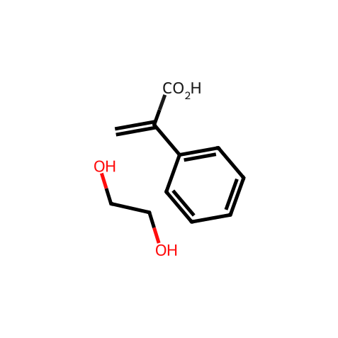 C=C(C(=O)O)c1ccccc1.OCCO